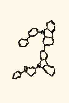 c1ccc(-c2ccc(-n3c4ccccc4c4cc(-c5ccc6c7ccccc7n(-c7cccc(-c8ccccc8)c7)c6c5)ccc43)cc2)cc1